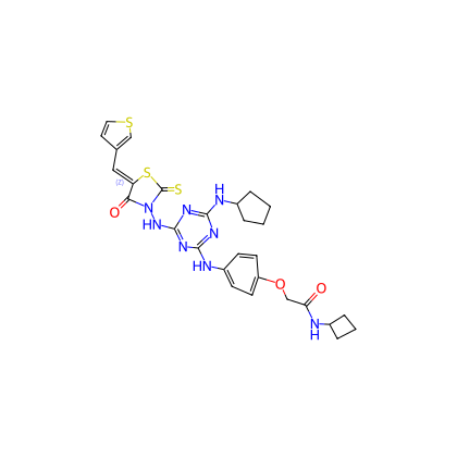 O=C(COc1ccc(Nc2nc(NC3CCCC3)nc(NN3C(=O)/C(=C/c4ccsc4)SC3=S)n2)cc1)NC1CCC1